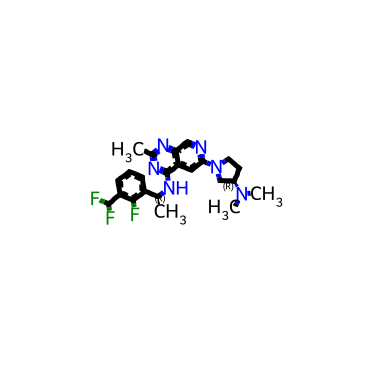 Cc1nc(N[C@H](C)c2cccc(C(F)F)c2F)c2cc(N3CC[C@@H](N(C)C)C3)ncc2n1